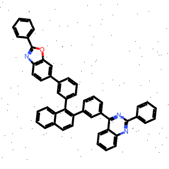 c1ccc(-c2nc(-c3cccc(-c4ccc5ccccc5c4-c4cccc(-c5ccc6nc(-c7ccccc7)oc6c5)c4)c3)c3ccccc3n2)cc1